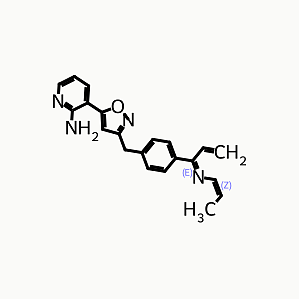 C=C/C(=N\C=C/C)c1ccc(Cc2cc(-c3cccnc3N)on2)cc1